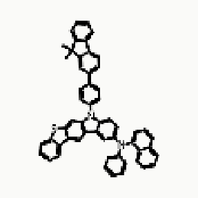 CC1(C)c2ccccc2-c2ccc(-c3ccc(-n4c5ccc(N(c6ccccc6)c6cccc7ccccc67)cc5c5cc6c(cc54)sc4ccccc46)cc3)cc21